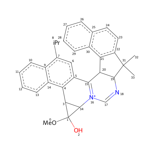 COC1(O)C2c3c(cc(C(C)C)c4ccccc34)C3=[N+](C=NC4C3c3c(ccc5ccccc35)C4(C)C)C21